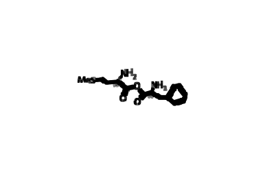 CSCC[C@H](N)C(=O)OC(=O)[C@@H](N)Cc1ccccc1